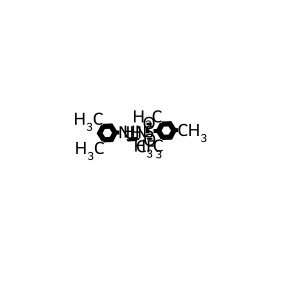 Cc1cc(C)cc(NCC(NS(=O)(=O)c2c(C)cc(C)cc2C)C(F)(F)F)c1